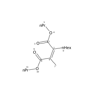 CCCCCC/C(C(=O)OCCC)=C(\C)C(=O)OCCC